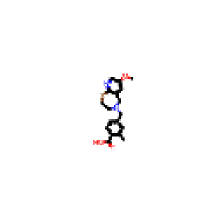 COc1cnc2c(c1)CN(Cc1ccc(C(=O)O)c(C)c1)CCS2